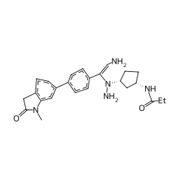 CCC(=O)N[C@H]1CC[C@@H](N(N)/C(=C\N)c2ccc(-c3ccc4c(c3)N(C)C(=O)C4)cc2)C1